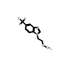 COCCn1cnc2cc(C(F)(F)F)ccc21